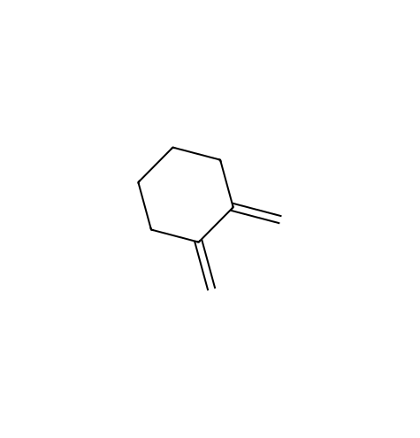 C=C1CCCCC1=C